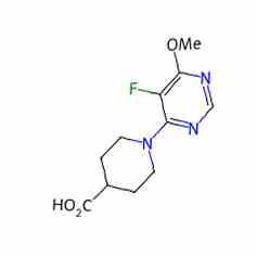 COc1ncnc(N2CCC(C(=O)O)CC2)c1F